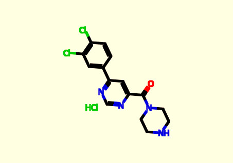 Cl.O=C(c1cc(-c2ccc(Cl)c(Cl)c2)ncn1)N1CCNCC1